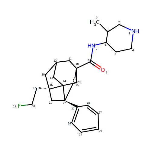 CC1CNCCC1NC(=O)C12CC3CC4(C1)[C@](CCF)(C3)C[C@@]4(c1ccccc1)C2